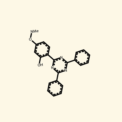 CNOc1ccc(-c2nc(-c3ccccc3)nc(-c3ccccc3)n2)c(O)c1